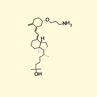 C=C1CC[C@H](OCCCN)CC1=CC=C1CCC[C@]2(C)[C@@H]([C@H](C)CCCC(C)(C)O)CC[C@@H]12